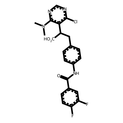 CN(C)c1ncnc(Cl)c1C(Cc1ccc(NC(=O)c2ccc(F)c(F)c2)cc1)C(=O)O